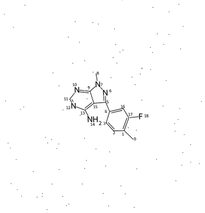 Cc1ccc(-c2nn(C)c3ncnc(N)c23)cc1F